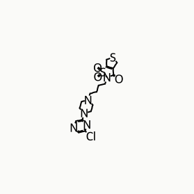 O=C1C2=C(CSC2)S(=O)(=O)N1CCCCN1CCN(c2cncc(Cl)n2)CC1